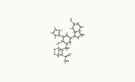 O=C(O)C1C2CCC(CC2)C1Nc1nc(-c2c[nH]c3ncc(F)cc23)nc(-c2cccs2)c1F